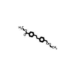 CCOOCc1ccc(CCc2ccc(C(=O)OCC)cc2)cc1